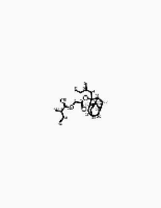 CCC(C)CC1(OC(=O)COC(=O)C(C)CC)C2CC3CC(C2)CC1C3